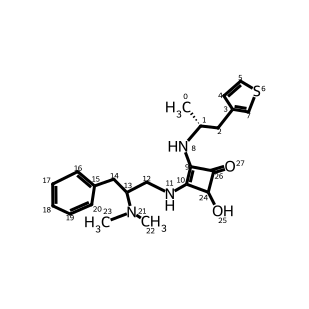 C[C@H](Cc1ccsc1)NC1=C(NCC(Cc2ccccc2)N(C)C)C(O)C1=O